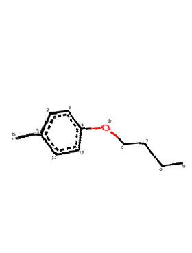 [CH2]c1ccc(OCCCC)cc1